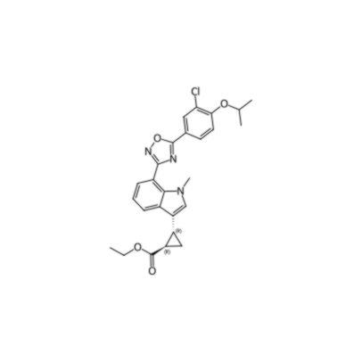 CCOC(=O)[C@@H]1C[C@H]1c1cn(C)c2c(-c3noc(-c4ccc(OC(C)C)c(Cl)c4)n3)cccc12